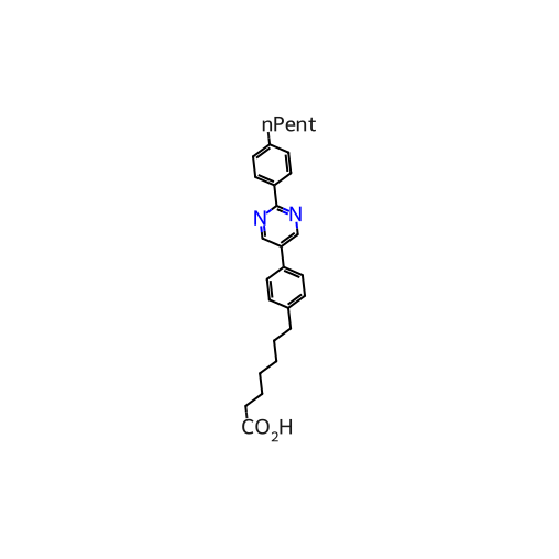 CCCCCc1ccc(-c2ncc(-c3ccc(CCCCCCC(=O)O)cc3)cn2)cc1